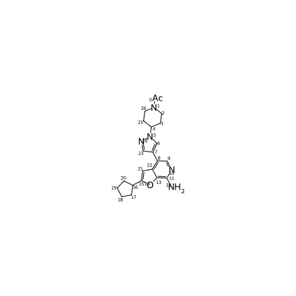 CC(=O)N1CCC(n2cc(-c3cnc(N)c4oc(C5CCCC5)cc34)cn2)CC1